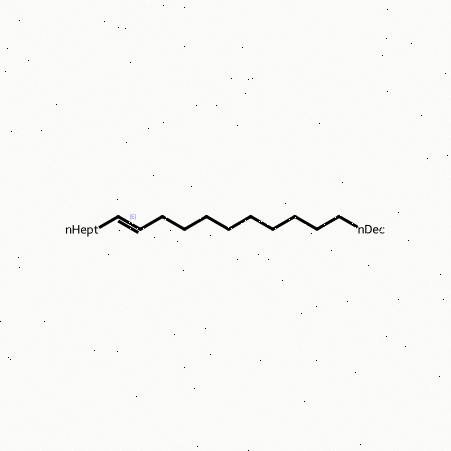 CCCCCCC/C=C/CCCCCCCCCCCCCCCCCCC